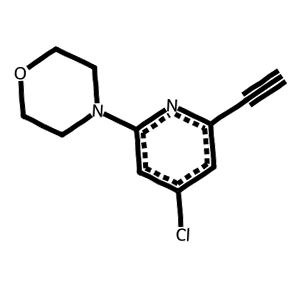 C#Cc1cc(Cl)cc(N2CCOCC2)n1